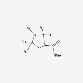 [2H]N1C([2H])([2H])CN(C(=O)NC)C1([2H])[2H]